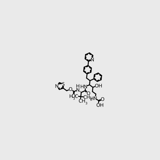 CC(C)(C)[C@H](NC(=O)OCc1cncs1)C(=O)NC(C(O)CCNC(=O)O)C(Cc1ccc(-c2ccccn2)cc1)c1ccccc1